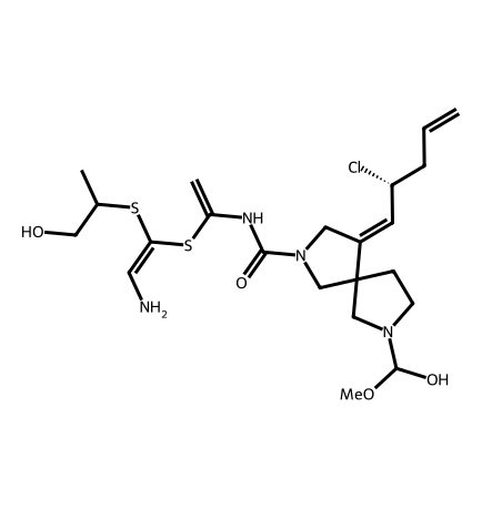 C=CC[C@@H](Cl)/C=C1\CN(C(=O)NC(=C)S/C(=C\N)SC(C)CO)CC12CCN(C(O)OC)C2